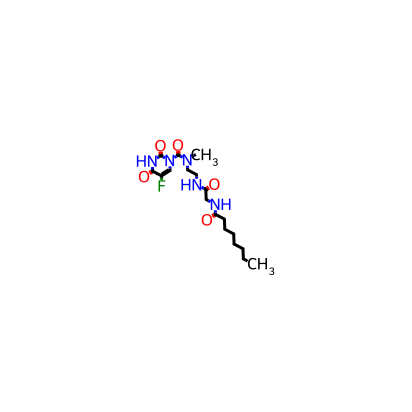 CCCCCCCC(=O)NCC(=O)NCCN(C)C(=O)n1cc(F)c(=O)[nH]c1=O